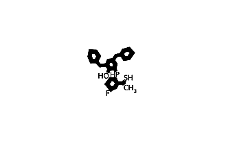 CC(S)c1cc(F)ccc1Pc1cc(Cc2ccccc2)cc(Cc2ccccc2)c1O